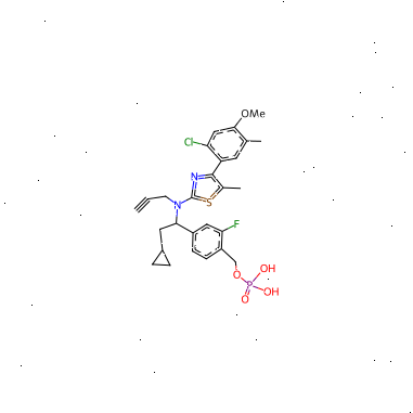 C#CCN(c1nc(-c2cc(C)c(OC)cc2Cl)c(C)s1)C(CC1CC1)c1ccc(COP(=O)(O)O)c(F)c1